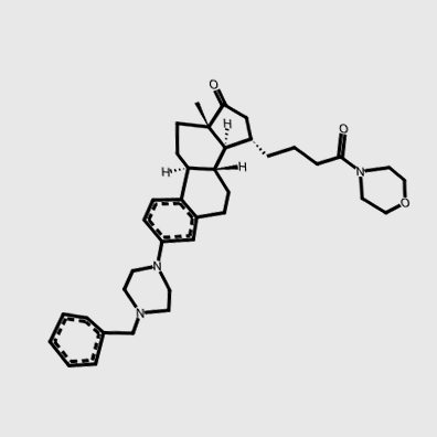 C[C@]12CC[C@@H]3c4ccc(N5CCN(Cc6ccccc6)CC5)cc4CC[C@H]3[C@@H]1[C@@H](CCCC(=O)N1CCOCC1)CC2=O